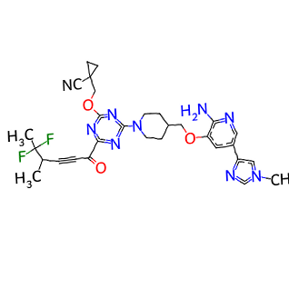 CC(C#CC(=O)c1nc(OCC2(C#N)CC2)nc(N2CCC(COc3cc(-c4cn(C)cn4)cnc3N)CC2)n1)C(C)(F)F